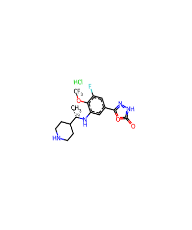 C[C@H](Nc1cc(-c2n[nH]c(=O)o2)cc(F)c1OC(F)(F)F)C1CCNCC1.Cl